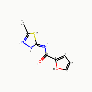 CCC1=N[N]C(=NC(=O)c2ccco2)S1